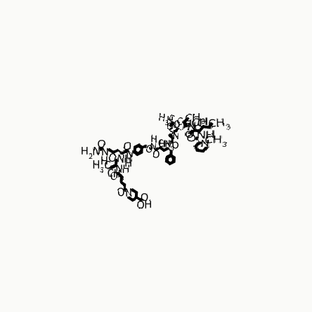 CC[C@H](C)[C@H](NC(=O)[C@H]1CCCCN1C)C(=O)N(C)[C@H](C[C@@H](OC(C)=O)c1nc(C(=O)N[C@@H](Cc2ccccc2)C[C@H](C)C(=O)NOCc2ccc(NC(=O)[C@H](CCCNC(N)=O)NC(=O)[C@@H](NC(=O)CCCC(=O)N3CCC(C(=O)O)CC3)C(C)C)cc2)cs1)C(C)C